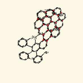 CC(C)(C)c1ccccc1-c1c(-c2ccccc2C(C)(C)C)c(-c2ccccc2C(C)(C)C)c2ccccc2c1OB(Oc1c(-c2ccccc2C(C)(C)C)c(-c2ccccc2C(C)(C)C)c(-c2ccccc2C(C)(C)C)c2ccccc12)Oc1c(-c2ccccc2C(C)(C)C)c(-c2ccccc2C(C)(C)C)c(-c2ccccc2C(C)(C)C)c2ccccc12